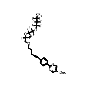 CCCCCCCCCCc1cnc(-c2ccc(C#CCCCOCC(F)(F)OC(F)(F)C(F)(F)OC(F)(F)C(F)(F)C(F)(F)C(F)(F)F)cc2)nc1